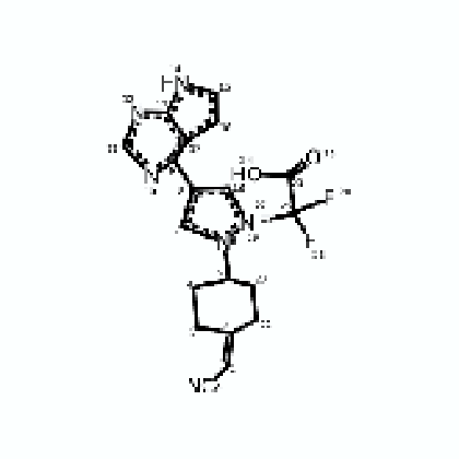 N#CC=C1CCC(n2cc(-c3ncnc4[nH]ccc34)cn2)CC1.O=C(O)C(F)(F)F